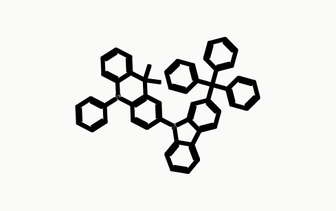 CC1(C)c2ccccc2N(c2ccccc2)c2ccc(-n3c4ccccc4c4ccc(C(c5ccccc5)(c5ccccc5)c5ccccc5)cc43)cc21